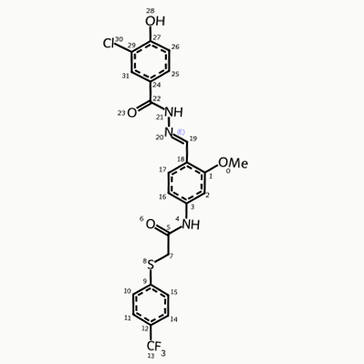 COc1cc(NC(=O)CSc2ccc(C(F)(F)F)cc2)ccc1/C=N/NC(=O)c1ccc(O)c(Cl)c1